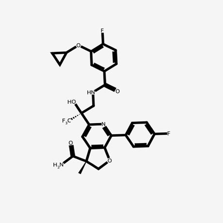 C[C@]1(C(N)=O)COc2c1cc([C@@](O)(CNC(=O)c1ccc(F)c(OC3CC3)c1)C(F)(F)F)nc2-c1ccc(F)cc1